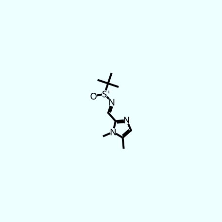 Cc1cnc(/C=N/[S+]([O-])C(C)(C)C)n1C